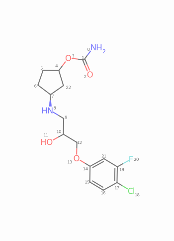 NC(=O)OC1CC[C@H](NCC(O)COc2ccc(Cl)c(F)c2)C1